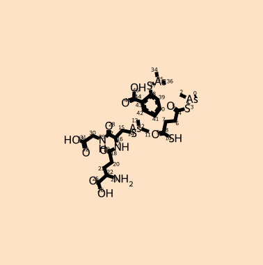 C[As](C)SC(=O)CCC(=O)S.C[As](C)SCC(NC(=O)CCC(N)C(=O)O)C(=O)NCC(=O)O.C[As](C)Sc1ccccc1C(=O)O